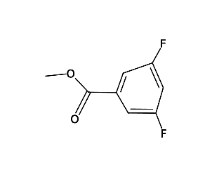 COC(=O)c1cc(F)cc(F)c1